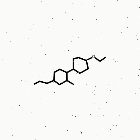 CCCC1CCC(C2CCC(OCC)CC2)C(C)C1